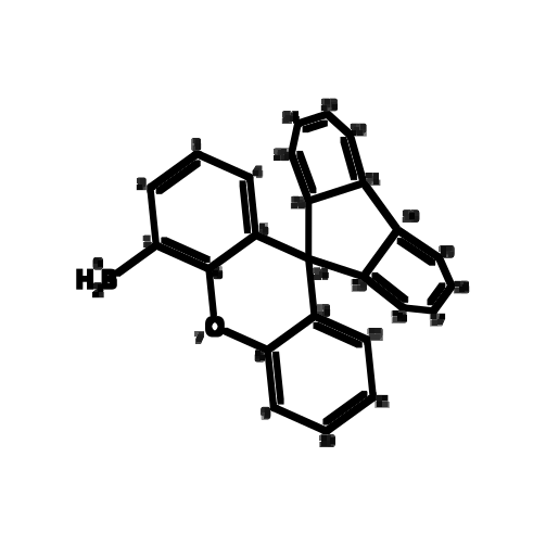 Bc1cccc2c1Oc1ccccc1C21c2ccccc2-c2ccccc21